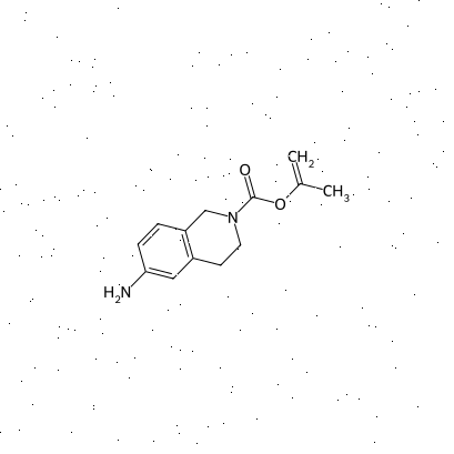 C=C(C)OC(=O)N1CCc2cc(N)ccc2C1